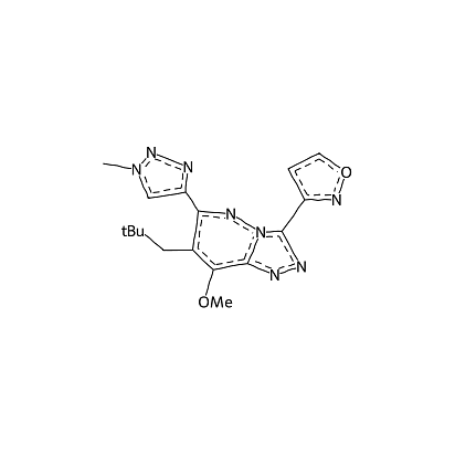 COc1c(CC(C)(C)C)c(-c2cn(C)nn2)nn2c(-c3ccon3)nnc12